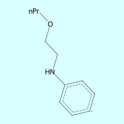 CCCOCCNc1cc[c]cc1